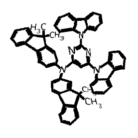 CC1(C)c2ccccc2-c2ccc(N(c3ccc4c(c3)C(C)(C)c3ccccc3-4)c3cc(-n4c5ccccc5c5ccccc54)nc(-n4c5ccccc5c5ccccc54)n3)cc21